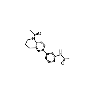 CC(=O)Nc1cccc(-c2ccc3c(c2)CCCN3C(C)=O)c1